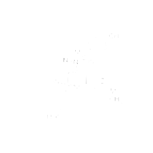 COc1ccc(-c2c(S(=O)(=O)c3ccc(C)cc3)cnn2S(=O)(=O)c2ccc(C)cc2)cc1